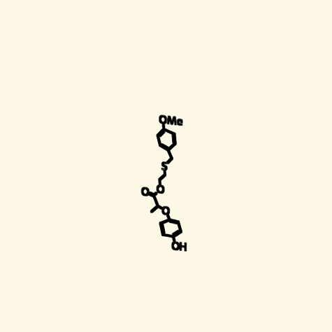 COc1ccc(CSCCOC(=O)C(C)Oc2ccc(O)cc2)cc1